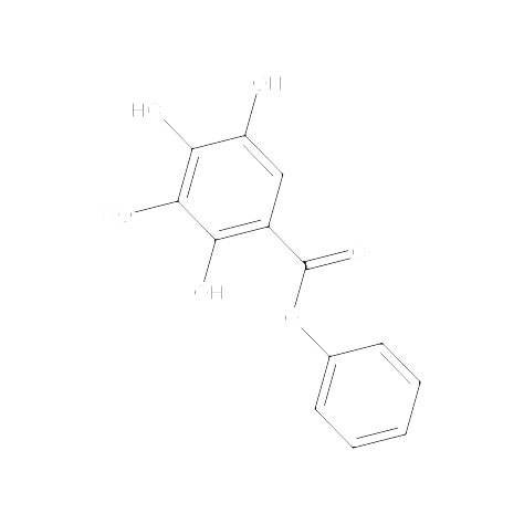 O=C(Oc1ccccc1)c1cc(O)c(O)c(O)c1O